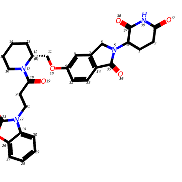 O=C1CCC(N2Cc3cc(OC[C@H]4CCCCN4C(=O)CCn4c(=O)oc5ccccc54)ccc3C2=O)C(=O)N1